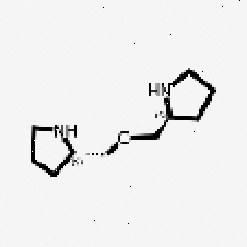 C1CN[C@H](COC[C@@H]2CCCN2)C1